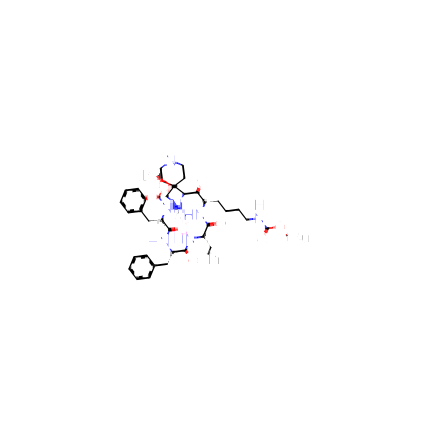 CC(=O)N1CC2(CCNCC2)C1C(=O)[C@@H](CCCCNC(=O)OC(C)(C)C)NC(=O)[C@@H](CC(C)C)NC(=O)[C@@H](Cc1ccccc1)NC(=O)[C@@H](Cc1ccccc1)NC(=O)OC(C)(C)C